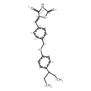 CCC(CC)c1ccc(OCc2ccc(/C=C3\SC(=S)NC3=O)cc2)cc1